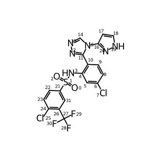 O=S(=O)(Nc1cc(Cl)ccc1-c1nncn1-c1cc[nH]n1)c1ccc(Cl)c(C(F)(F)F)c1